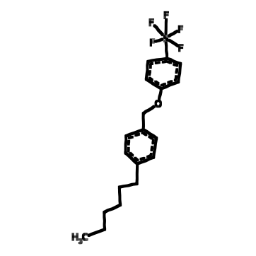 CCCCCCc1ccc(COc2ccc(S(F)(F)(F)(F)F)cc2)cc1